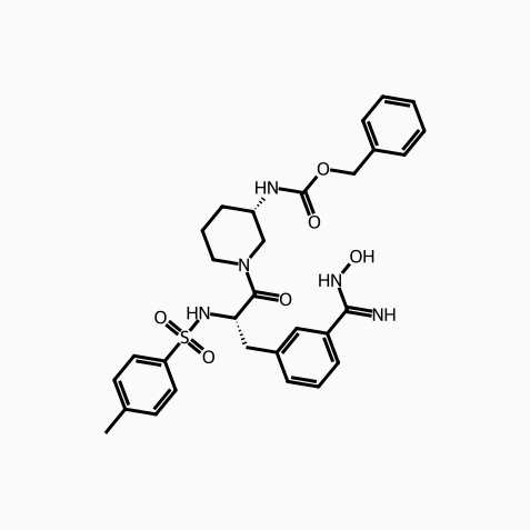 Cc1ccc(S(=O)(=O)N[C@@H](Cc2cccc(C(=N)NO)c2)C(=O)N2CCC[C@H](NC(=O)OCc3ccccc3)C2)cc1